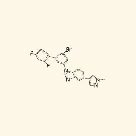 Cn1cc(-c2ccc3c(c2)ncn3-c2cc(Br)cc(-c3ccc(F)cc3F)c2)cn1